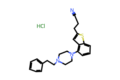 Cl.N#CCCc1cc2c(N3CCN(CCc4ccccc4)CC3)cccc2s1